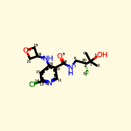 CC(C)(O)[C@H](F)CNC(=O)c1cnc(Cl)cc1NC1COC1